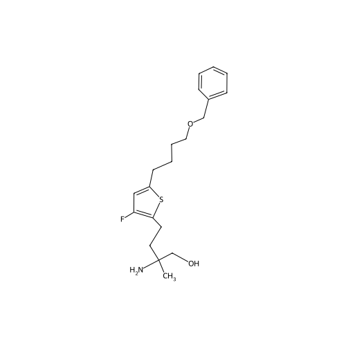 CC(N)(CO)CCc1sc(CCCCOCc2ccccc2)cc1F